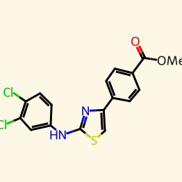 COC(=O)c1ccc(-c2csc(Nc3ccc(Cl)c(Cl)c3)n2)cc1